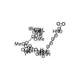 C=C1C[C@H]2[C@H](O)N(C(=O)OCc3ccc(NC(=O)[C@H](C)NC(=O)[C@@H](NC(=O)CCOCCOCCOCCOCCNC(=O)OCC4c5ccccc5-c5ccccc54)C(C)C)cc3)c3cc(OCCCCCOc4cc5c(cc4OC)C(=O)N4CC(=C)C[C@H]4[C@H](O)N5C(=O)OC(C)(C)C)c(OC)cc3C(=O)N2C1